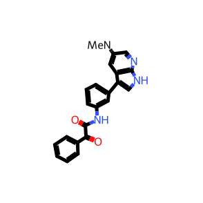 CNc1cnc2[nH]cc(-c3cccc(NC(=O)C(=O)c4ccccc4)c3)c2c1